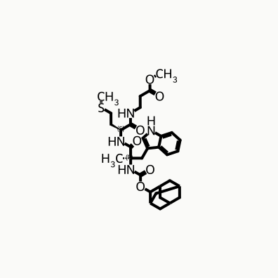 COC(=O)CCNC(=O)[C@H](CCSC)NC(=O)[C@@](C)(Cc1c[nH]c2ccccc12)NC(=O)OC1C2CC3CC(C2)CC1C3